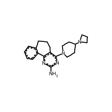 Nc1nc2c(c(N3CCC(N4CCC4)CC3)n1)CCCc1ccccc1-2